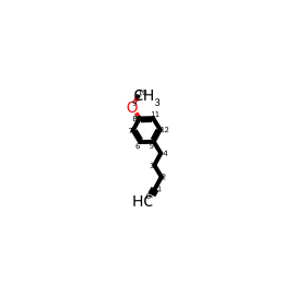 C#CCCCc1ccc(OC)cc1